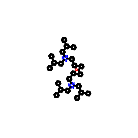 O=C(c1ccccc1-c1cccc(-c2cccc(-c3nc(-c4cccc(-c5cc(-c6ccccc6)cc(-c6ccccc6)c5)c4)nc(-c4cccc(-c5cc(-c6ccccc6)cc(-c6ccccc6)c5)c4)n3)c2)c1)c1ccccc1-c1cccc(-c2cccc(-c3nc(-c4cccc(-c5cc(-c6ccccc6)cc(-c6ccccc6)c5)c4)nc(-c4cccc(-c5cc(-c6ccccc6)cc(-c6ccccc6)c5)c4)n3)c2)c1